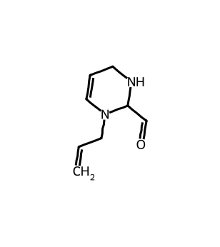 C=CCN1C=CCNC1C=O